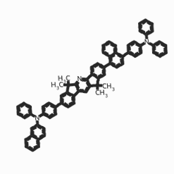 CC1(C)c2cc(-c3ccc(-c4ccc(N(c5ccccc5)c5ccccc5)cc4)c4ccccc34)ccc2-c2nc3c(cc21)-c1ccc(-c2ccc(N(c4ccccc4)c4ccc5ccccc5c4)cc2)cc1C3(C)C